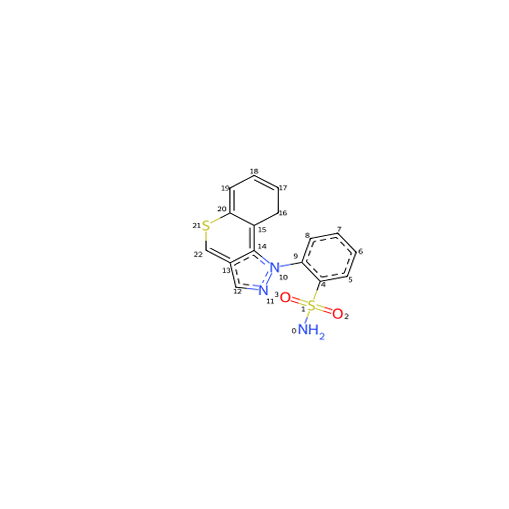 NS(=O)(=O)c1ccccc1-n1ncc2c1=C1CC=CC=C1SC=2